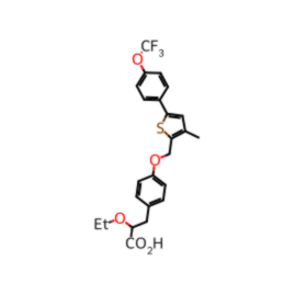 CCOC(Cc1ccc(OCc2sc(-c3ccc(OC(F)(F)F)cc3)cc2C)cc1)C(=O)O